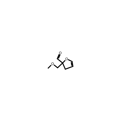 COCC1(C=O)CC=CO1